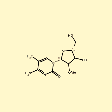 COC1C(O)[C@@H](CO)S[C@H]1n1cc(C)c(N)nc1=O